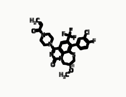 C=CC(=O)N1CCN(c2nc(=O)n3c4c(c(-c5ccc(F)c(Cl)c5)c(C(F)(F)F)cc24)SC[C@H](OC)C3)CC1